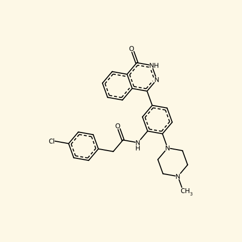 CN1CCN(c2ccc(-c3n[nH]c(=O)c4ccccc34)cc2NC(=O)Cc2ccc(Cl)cc2)CC1